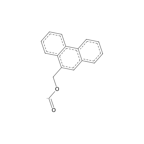 O=[C]OCc1cc2ccccc2c2ccccc12